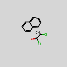 C.O=C(Cl)CCl.c1ccc2ccccc2c1